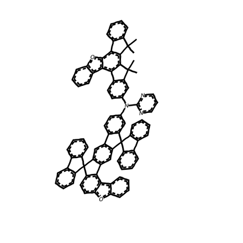 CC1(C)c2ccccc2-c2c1c1c(c3c2oc2ccccc23)-c2ccc(N(c3ccc4c(c3)C3(c5ccccc5-c5ccccc53)c3cc5c(cc3-4)C3(c4ccccc4-c4ccccc43)c3ccc4oc6ccccc6c4c3-5)c3ncccn3)cc2C1(C)C